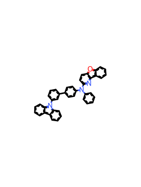 c1ccc(N(c2ccc(-c3cccc(-n4c5ccccc5c5ccccc54)c3)cc2)c2ccc3oc4ccccc4c3n2)cc1